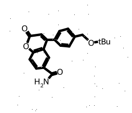 CC(C)(C)OCc1ccc(-c2cc(=O)oc3ccc(C(N)=O)cc23)cc1